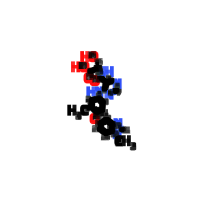 Cc1cc(Nc2ncncc2C(=O)N[C@@H](CO)C(=O)O)ccc1Oc1ccc2c(c1)ncn2C